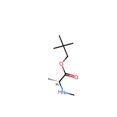 CN[C@H](C)C(=O)OCC(C)(C)C